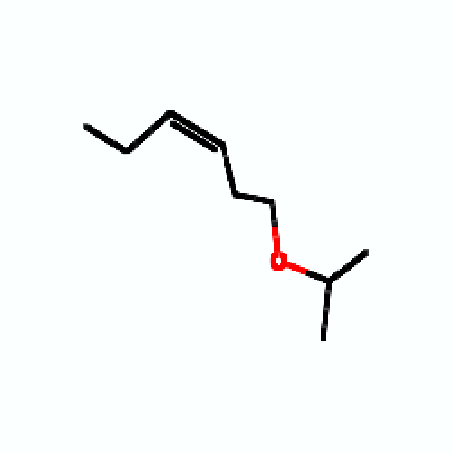 CC/C=C\CCOC(C)C